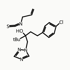 C=CCN=C=S.CC(C)(C)C(O)(CCc1ccc(Cl)cc1)Cn1cncn1